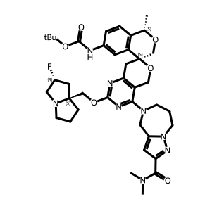 C[C@@H]1OC[C@]2(Cc3nc(OC[C@@]45CCCN4C[C@H](F)C5)nc(N4CCCn5nc(C(=O)N(C)C)cc5C4)c3CO2)c2cc(NC(=O)OC(C)(C)C)ccc21